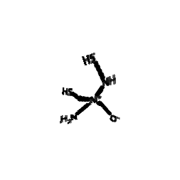 N[N+]([O-])(S)NS